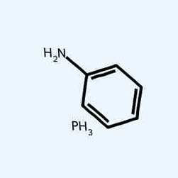 Nc1ccccc1.P